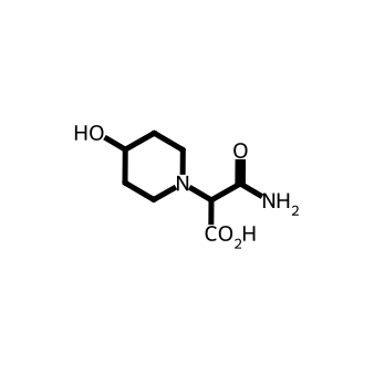 NC(=O)C(C(=O)O)N1CCC(O)CC1